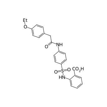 CCOc1ccc(CC(=O)Nc2ccc(S(=O)(=O)Nc3ccccc3C(=O)O)cc2)cc1